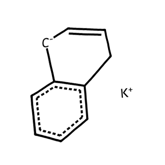 C1=CCc2ccccc2[CH-]1.[K+]